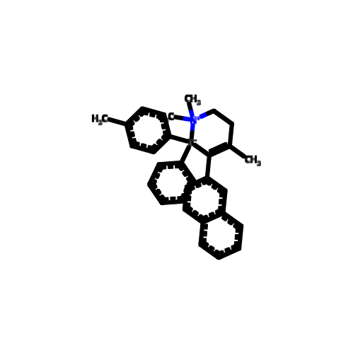 CC1=C(c2ccc3ccccc3c2)[B-](c2ccccc2)(c2ccc(C)cc2)[N+](C)(C)CC1